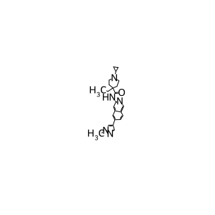 CCC1(C(=O)Nc2cc3cc(-c4cnn(C)c4)ccc3cn2)CCN(C2CC2)CC1